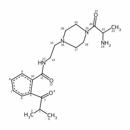 CC(C)C(=O)c1ccccc1C(=O)NCCN1CCN(C(=O)C(C)N)CC1